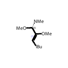 CCC(C)/C=C(\OC)[C@@H](NC)OC